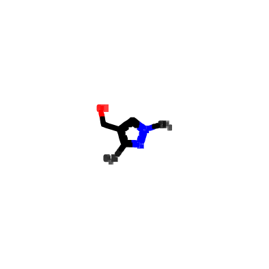 Cn1cc(CO)c([N+](=O)[O-])n1